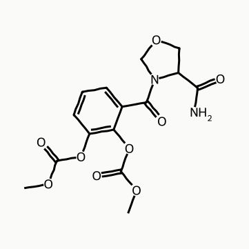 COC(=O)Oc1cccc(C(=O)N2COCC2C(N)=O)c1OC(=O)OC